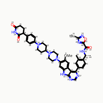 COc1cc2c(cc1N1CCN(C3CCN(c4ccc(C5CCC(=O)NC5=O)cc4)CC3)CC1)[nH]c1ncnc(-c3ccc([C@@H](C)NC(=O)c4nc(C(C)(C)C)no4)c(C)c3)c12